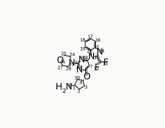 NC1CCC(Oc2cc(-n3c(C(F)F)nc4ccccc43)nc(N3CCOCC3)n2)C1